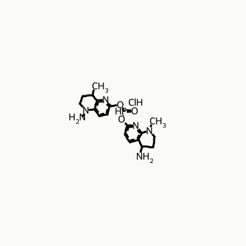 CC1CCN(N)c2ccc(O[PH](=O)Oc3ccc4c(n3)N(C)CCC4N)nc21.Cl